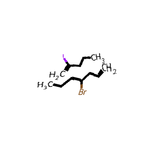 C=C(I)CCC.C=CCC(Br)CCC